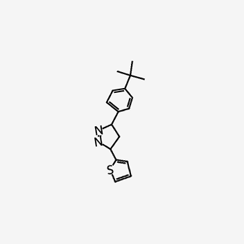 CC(C)(C)c1ccc(C2CC(c3cccs3)N=N2)cc1